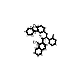 Cc1ccccc1C(Cc1ccc2oc3ccccc3c2c1)C(=O)c1ccc2ccccc2c1Br